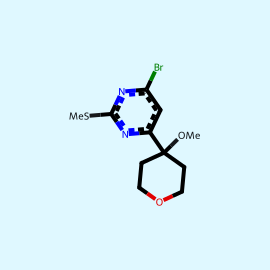 COC1(c2cc(Br)nc(SC)n2)CCOCC1